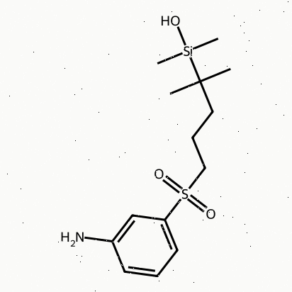 CC(C)(CCCS(=O)(=O)c1cccc(N)c1)[Si](C)(C)O